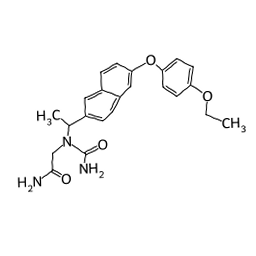 CCOc1ccc(Oc2ccc3cc(C(C)N(CC(N)=O)C(N)=O)ccc3c2)cc1